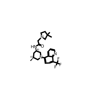 C[C@H]1C[C@@H](NC(=O)CN2CCC(C)(C)C2)CN(c2ccc(C(F)(F)F)c3ncccc23)C1